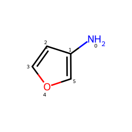 Nc1[c]coc1